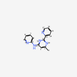 Cc1cc(Nc2ccccn2)nc(-c2ccccn2)n1